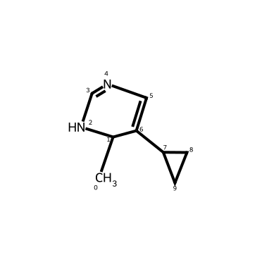 CC1NC=NC=C1C1CC1